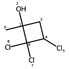 CC1(O)CC(Cl)C1(Cl)Cl